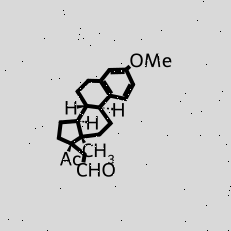 COc1ccc2c(c1)CC[C@@H]1[C@@H]2CC[C@@]2(C)[C@H]1CC[C@]2(CC=O)C(C)=O